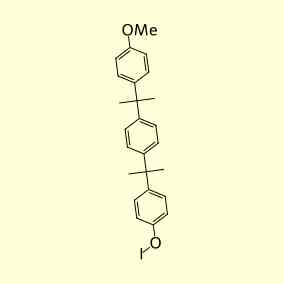 COc1ccc(C(C)(C)c2ccc(C(C)(C)c3ccc(OI)cc3)cc2)cc1